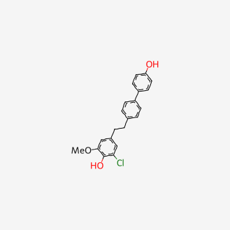 COc1cc(CCc2ccc(-c3ccc(O)cc3)cc2)cc(Cl)c1O